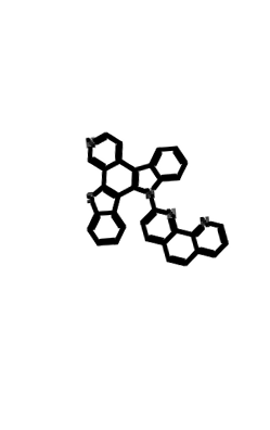 c1cnc2c(c1)ccc1ccc(-n3c4ccccc4c4c5ccncc5c5sc6ccccc6c5c43)nc12